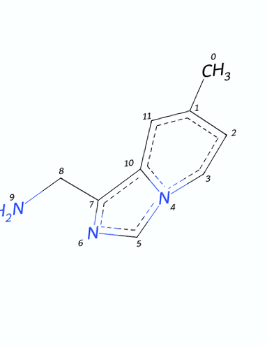 Cc1ccn2cnc(CN)c2c1